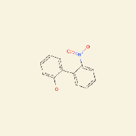 [O]c1ccccc1-c1ccccc1[N+](=O)[O-]